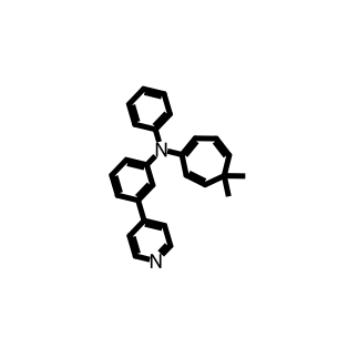 CC1(C)C=CC=C(N(c2ccccc2)c2cccc(-c3ccncc3)c2)C=C1